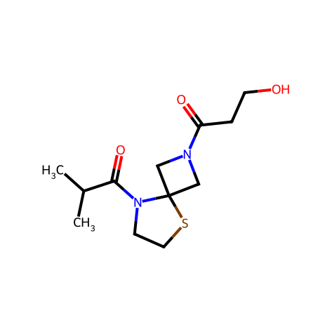 CC(C)C(=O)N1CCSC12CN(C(=O)CCO)C2